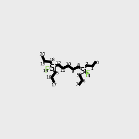 CCC[Si](F)(CCC)CCCCC[Si](F)(CCC)CCC